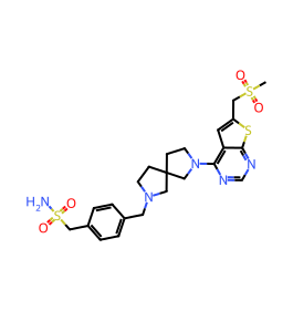 CS(=O)(=O)Cc1cc2c(N3CCC4(CCN(Cc5ccc(CS(N)(=O)=O)cc5)C4)C3)ncnc2s1